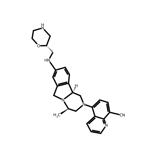 C[C@@H]1CN(c2ccc(C#N)c3ncccc23)C[C@@H]2c3ccc(NC[C@H]4CNCCO4)cc3CN12